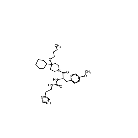 CCCCOC1(C2CCCCC2)CCN(C(=O)C(Cc2ccc(OC)cc2)NC(=O)NCCc2c[nH]cn2)CC1